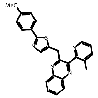 COc1ccc(-c2ncc(Cc3nc4ccccc4nc3-c3ncccc3C)s2)cc1